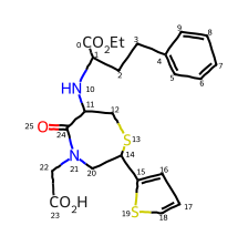 CCOC(=O)C(CCc1ccccc1)NC1CSC(c2cccs2)CN(CC(=O)O)C1=O